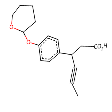 CC#CC(CC(=O)O)c1ccc(OC2CCCCO2)cc1